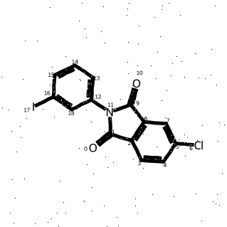 O=C1c2ccc(Cl)cc2C(=O)N1c1cccc(I)c1